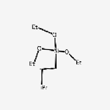 CCO[Si](C[CH]C(C)C)(OCC)OCC